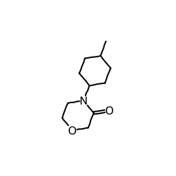 CC1CCC(N2CCOCC2=O)CC1